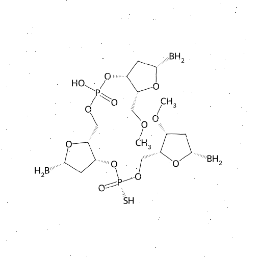 B[C@H]1C[C@@H](OC)[C@@H](CO[P@](=O)(S)O[C@@H]2C[C@H](B)O[C@@H]2COP(=O)(O)O[C@@H]2C[C@H](B)O[C@@H]2COC)O1